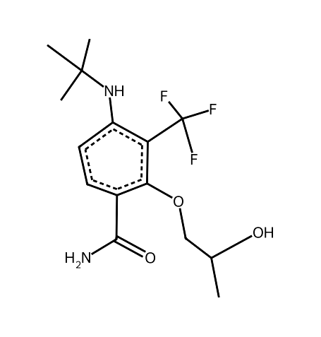 CC(O)COc1c(C(N)=O)ccc(NC(C)(C)C)c1C(F)(F)F